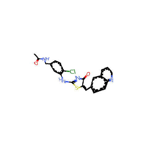 CC(=O)NCc1ccc(Cl)c(NC2=NC(=O)C(=Cc3ccc4ncccc4c3)S2)c1